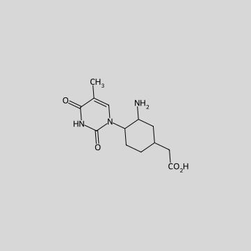 Cc1cn(C2CCC(CC(=O)O)CC2N)c(=O)[nH]c1=O